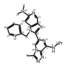 Cc1nnc2c(NC(C)C)nc(-c3nc4cnc(N(C)C)cc4n3Cc3ccccn3)cn12